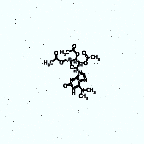 CC(=O)OC[C@H]1O[C@@H](n2cnc3c(N(C)C)[nH]c(=O)nc32)[C@H](OC(C)=O)[C@@H]1OC(C)=O